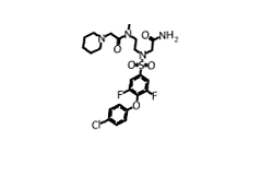 CN(CCN(CC(N)=O)S(=O)(=O)c1cc(F)c(Oc2ccc(Cl)cc2)c(F)c1)C(=O)CN1CCCCC1